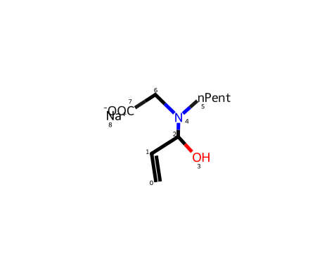 C=CC(O)N(CCCCC)CC(=O)[O-].[Na+]